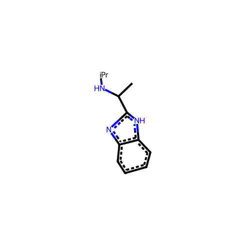 CC(C)NC(C)c1nc2ccccc2[nH]1